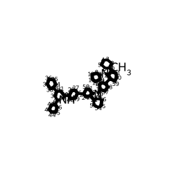 CC12CCC=CC1N(c1ccccc1)c1c(-c3ccc(-n4c5c(c6cc(-c7ccc(C8=CC(c9ccccc9)=CC(c9ccccc9)N8)cc7)ccc64)CCC=C5)cc3)cccc12